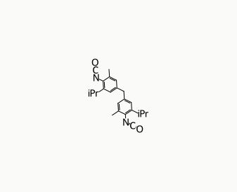 Cc1cc(Cc2cc(C)c(N=C=O)c(C(C)C)c2)cc(C(C)C)c1N=C=O